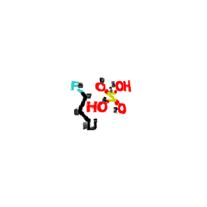 O=S(=O)(O)O.[Li][CH2]CF